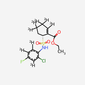 [2H]C1=C(C(=O)OCC)[C@H](S(=O)(=O)Nc2c([2H])c([2H])c(F)c([2H])c2Cl)CC([2H])([2H])C1([2H])[2H]